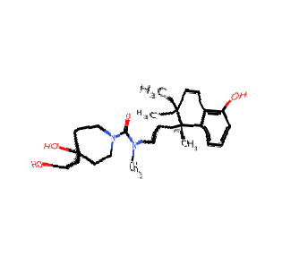 CN(CC[C@@]1(C)c2cccc(O)c2CCC1(C)C)C(=O)N1CCC(O)(CO)CC1